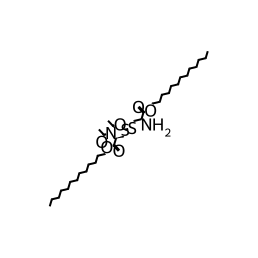 CCCCCCCCCCCCCOC(=O)C(N)CSSC[C@@H](C(=O)OCCCCCCCCCCCCC)N(C(C)=O)C(C)=O